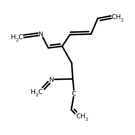 C=C/C=C/C(=C\N=C)CC(CC=C)N=C